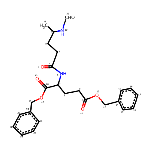 CC(CCC(=O)NC(CCC(=O)OCc1ccccc1)C(=O)OCc1ccccc1)NC=O